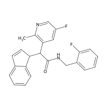 Cc1ncc(F)cc1C(C(=O)NCc1ccccc1F)C1C=Cc2ccccc21